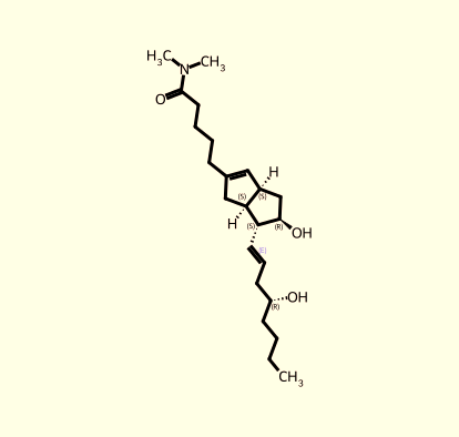 CCCC[C@@H](O)C/C=C/[C@@H]1[C@H]2CC(CCCCC(=O)N(C)C)=C[C@H]2C[C@H]1O